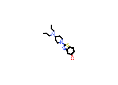 CCCN(CCC)C1CCN(c2nc3cc([O])ccc3s2)CC1